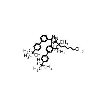 CCCCCCC(C)(C)c1nnc(-c2cccc(-c3ccc(C(C)(C)C)cc3)c2)n1-c1ccc(-c2ccc(C(C)(C)C)cc2)cc1CC